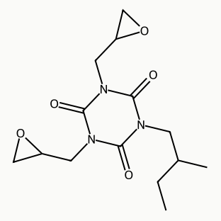 CCC(C)Cn1c(=O)n(CC2CO2)c(=O)n(CC2CO2)c1=O